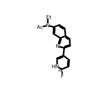 CCN(C(C)=O)c1ccc2ccc(C3=CN[C@H](F)C=C3)nc2c1